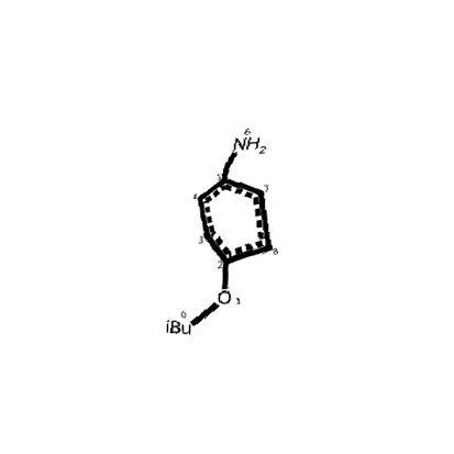 CCC(C)Oc1ccc(N)cc1